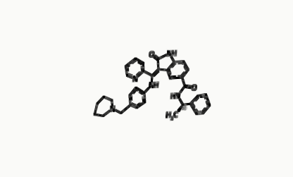 C[C@@H](NC(=O)c1ccc2c(c1)C(=C(Nc1ccc(CN3CCCCC3)cc1)c1ccccn1)C(=O)N2)c1ccccc1